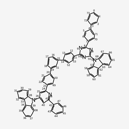 c1ccc(-c2ccc(-c3nc(-c4ccc(-c5cccc(-c6ccc(-c7cc(-n8c9ccccc9c9ccccc98)cc(-c8ccccc8)n7)cc6)c5)cc4)nc(-n4c5ccccc5c5ccccc54)n3)cc2)cc1